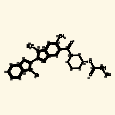 CCn1c(-c2nc3cc(C(=O)N4CCC[C@@H](OC(=O)NC(C)(C)C)C4)c(C)cc3n2C)cc2ccccc21